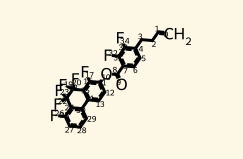 C=CCCc1ccc(C(=O)Oc2ccc3c(c2F)C(F)(F)C(F)(F)c2c(F)cccc2-3)c(F)c1F